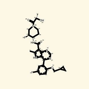 Cc1[nH]c2c(-c3cc(F)ccc3OCC3CC3)ncnc2c1C(=O)N[C@H]1CCN(C(=O)[C@H](C)O)C[C@@H]1F